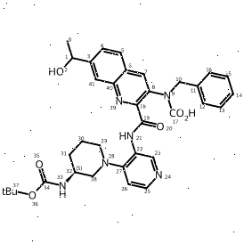 CC(O)c1ccc2cc(N(Cc3ccccc3)C(=O)O)c(C(=O)Nc3cnccc3N3CCC[C@H](NC(=O)OC(C)(C)C)C3)nc2c1